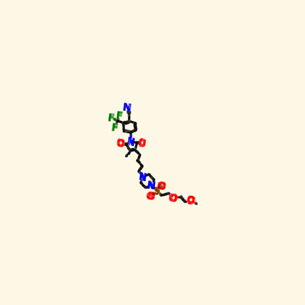 COCCOCCS(=O)(=O)N1CCN(CCCCC2=C(C)C(=O)N(c3ccc(C#N)c(C(F)(F)F)c3)C2=O)CC1